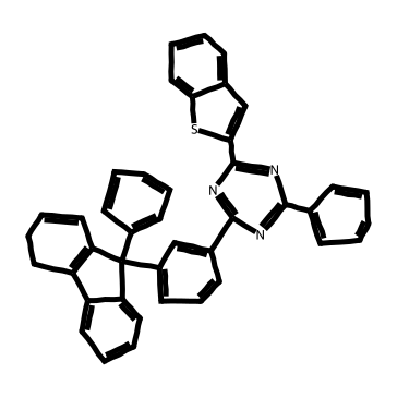 C1=CC2=C(CC1)c1ccccc1C2(c1ccccc1)c1cccc(-c2nc(-c3ccccc3)nc(-c3cc4ccccc4s3)n2)c1